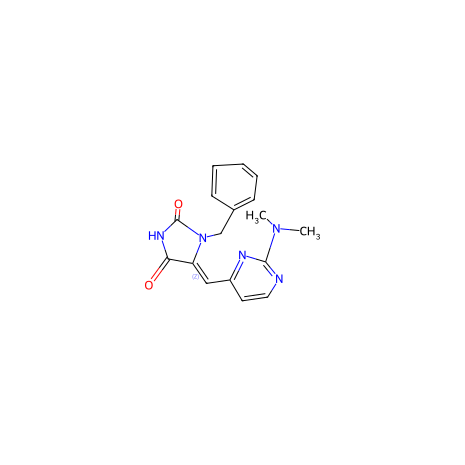 CN(C)c1nccc(/C=C2/C(=O)NC(=O)N2Cc2ccccc2)n1